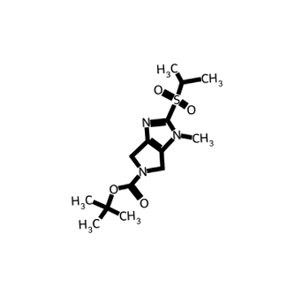 CC(C)S(=O)(=O)c1nc2c(n1C)CN(C(=O)OC(C)(C)C)C2